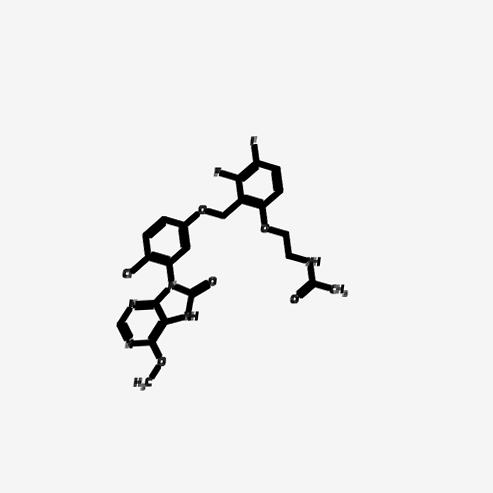 COc1ncnc2c1[nH]c(=O)n2-c1cc(OCc2c(OCCNC(C)=O)ccc(F)c2F)ccc1Cl